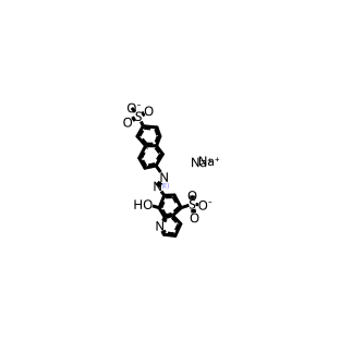 O=S(=O)([O-])c1ccc2cc(/N=N/c3cc(S(=O)(=O)[O-])c4cccnc4c3O)ccc2c1.[Na+].[Na+]